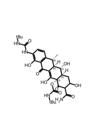 C[C@H]1c2ccc(NC(=O)NC(C)(C)C)c(O)c2C(=O)C2=C(O)[C@]3(OC(=O)NC(C)(C)C)C(=O)C(C(N)=O)C(O)C[C@@H]3[C@@H](O)[C@@H]21